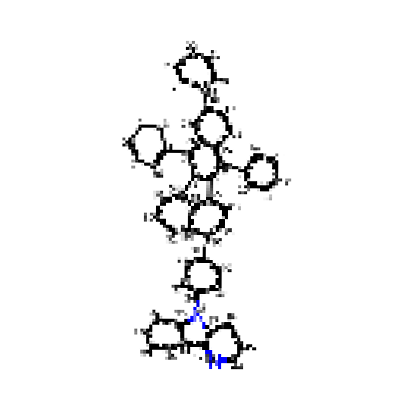 C1=CCCC(c2c3c(c(-c4ccccc4)c4ccc(-c5ccccc5)cc24)-c2ccc(-c4ccc(-n5c6ccccc6c6ncccc65)cc4)c4cccc-3c24)=C1